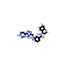 Cn1c(CNc2cccc(C(=O)N[C@H]3CCOc4cc(F)ccc43)c2)nnc1C1CCNCN1